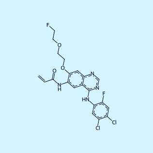 C=CC(=O)Nc1cc2c(Nc3cc(Cl)c(Cl)cc3F)ncnc2cc1OCCOCCF